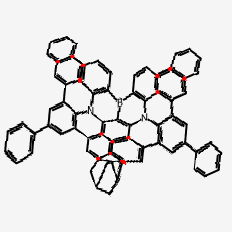 c1ccc(-c2cc(-c3ccccc3)c(N3c4cc(-c5ccccc5)ccc4B4c5ccc(-c6ccccc6)cc5N(c5c(-c6ccccc6)cc(-c6ccccc6)cc5-c5ccccc5)c5cc(N6C7CC8CC(C7)C6C8)cc3c54)c(-c3ccccc3)c2)cc1